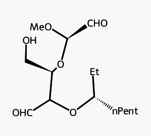 CCCCC[C@@H](CC)OC(C=O)[C@@H](CO)O[C@H](C=O)OC